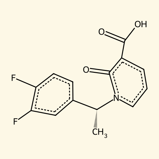 C[C@H](c1ccc(F)c(F)c1)n1cccc(C(=O)O)c1=O